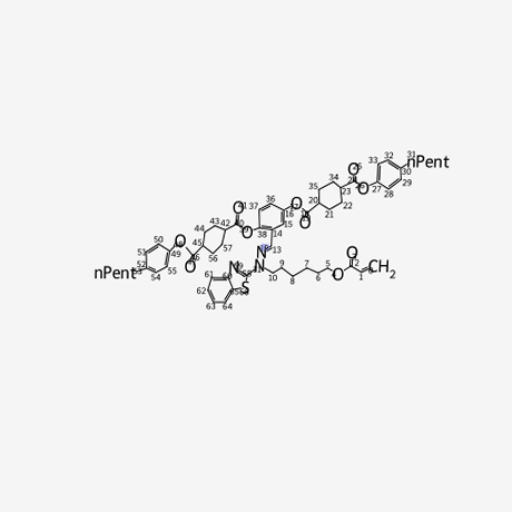 C=CC(=O)OCCCCCCN(/N=C/c1cc(OC(=O)C2CCC(C(=O)Oc3ccc(CCCCC)cc3)CC2)ccc1OC(=O)C1CCC(C(=O)Oc2ccc(CCCCC)cc2)CC1)c1nc2ccccc2s1